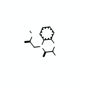 CCOC(=O)C1Sc2ccccc2N(CC(=O)OC(C)(C)C)C1=O